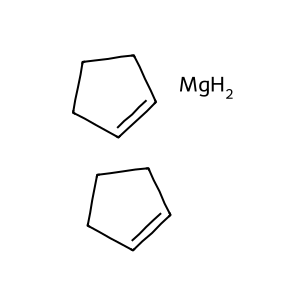 C1=CCCC1.C1=CCCC1.[MgH2]